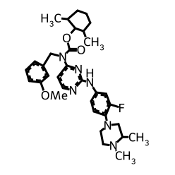 COc1cccc(CN(C(=O)OC2C(C)CCCC2C)c2ccnc(Nc3ccc(N4CCN(C)C(C)C4)c(F)c3)n2)c1